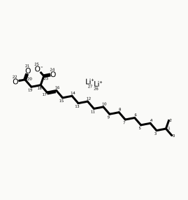 CC(C)CCCCCCCCCCCCCC=CC(CC(=O)[O-])C(=O)[O-].[Li+].[Li+]